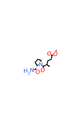 COC(=O)CCC(C)C(=O)N1CCC[C@H]1C(N)=O